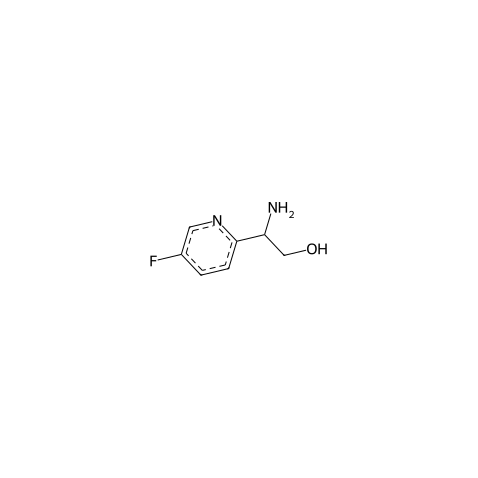 NC(CO)c1ccc(F)cn1